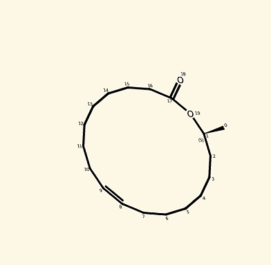 C[C@H]1CCCCCCC=CCCCCCCCC(=O)O1